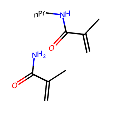 C=C(C)C(=O)NCCC.C=C(C)C(N)=O